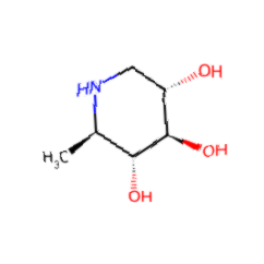 C[C@H]1NC[C@H](O)[C@@H](O)[C@@H]1O